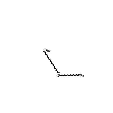 CCCCC=CC=CC=CCCCCCCCC(=O)OCCCCCCCCCCCCCCCCCCCCCCCCCCCCC